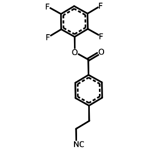 [C-]#[N+]CCc1ccc(C(=O)Oc2c(F)c(F)cc(F)c2F)cc1